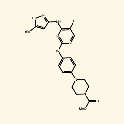 COC(=O)N1CCN(c2ccc(Nc3ncc(F)c(Nc4cc(C(C)(C)C)[nH]n4)n3)cc2)CC1